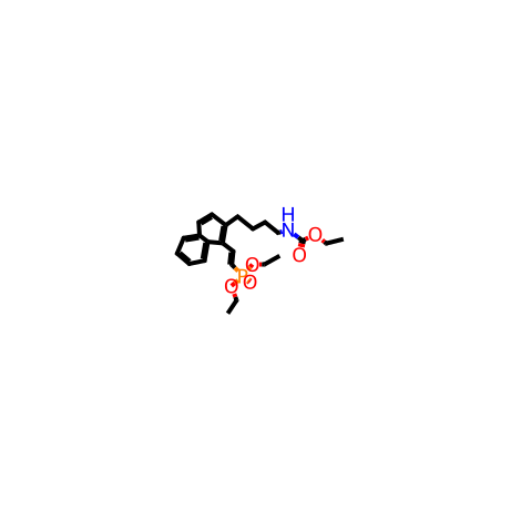 CCOC(=O)NCCCCc1ccc2ccccc2c1C=CP(=O)(OCC)OCC